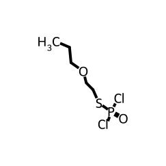 CCCOCCSP(=O)(Cl)Cl